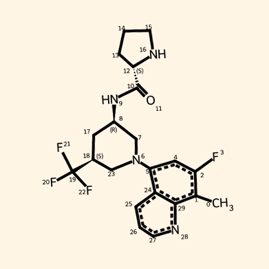 Cc1c(F)cc(N2C[C@H](NC(=O)[C@@H]3CCCN3)C[C@H](C(F)(F)F)C2)c2cccnc12